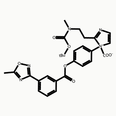 Cc1nc(-c2cccc(C(=O)Oc3ccc([N+]4(C(=O)[O-])C=CN=C4CCN(C)C(=O)OC(C)(C)C)cc3)c2)no1